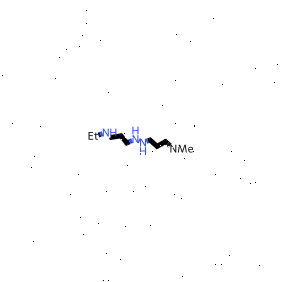 CCNCCCNNCCCNC